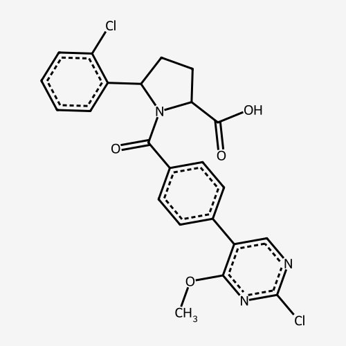 COc1nc(Cl)ncc1-c1ccc(C(=O)N2C(C(=O)O)CCC2c2ccccc2Cl)cc1